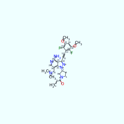 C=CC(=O)N1CCC(n2nc(C#Cc3c(F)c(OC)cc(OC)c3F)c3c(N)ncc(CN(C)C)c32)C1